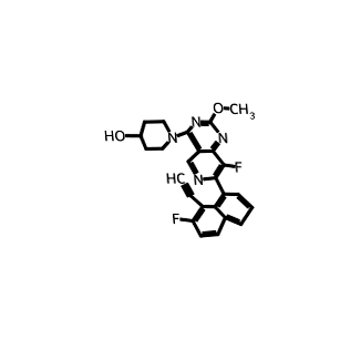 C#Cc1c(F)ccc2cccc(-c3ncc4c(N5CCC(O)CC5)nc(OC)nc4c3F)c12